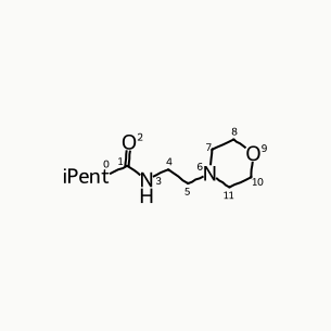 CCCC(C)C(=O)NCCN1CCOCC1